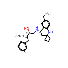 CC(=O)N[C@@H](Cc1cccc(F)c1)[C@@H](O)CN[C@H]1CC2(CCC2)Nc2ccc(CC(C)(C)C)cc21